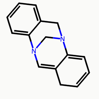 C1=CCC2=CN3CN(Cc4ccccc43)C2=C1